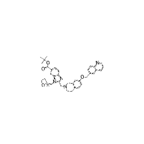 CC(C)(C)OC(=O)c1ccc2nc(CN3CCc4ccc(OCc5ccc6ncccc6c5)cc4C3)n(C[C@@H]3CCO3)c2c1